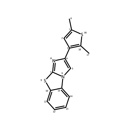 Cc1cc(-c2cn3c(n2)sc2ccccc23)c(C)s1